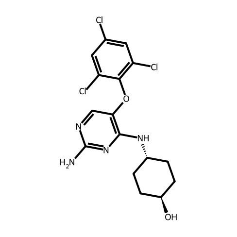 Nc1ncc(Oc2c(Cl)cc(Cl)cc2Cl)c(N[C@H]2CC[C@H](O)CC2)n1